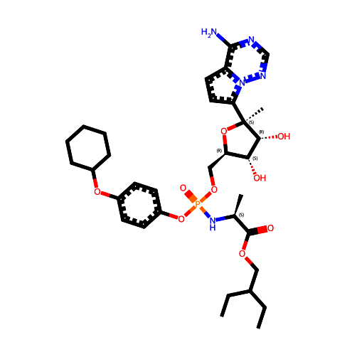 CCC(CC)COC(=O)[C@H](C)NP(=O)(OC[C@H]1O[C@@](C)(c2ccc3c(N)ncnn23)[C@H](O)[C@@H]1O)Oc1ccc(OC2CCCCC2)cc1